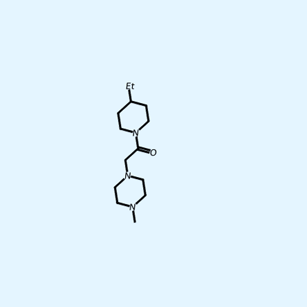 CCC1CCN(C(=O)CN2CCN(C)CC2)CC1